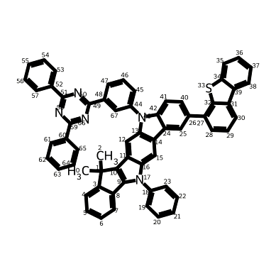 CC1(C)c2ccccc2-c2c1c1cc3c(cc1n2-c1ccccc1)c1cc(-c2cccc4c2sc2ccccc24)ccc1n3-c1cccc(-c2nc(-c3ccccc3)nc(-c3ccccc3)n2)c1